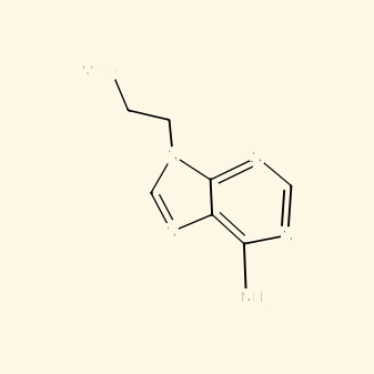 COCCn1cnc2c(N)ncnc21